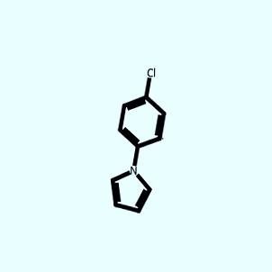 Clc1c[c]c(-n2cccc2)cc1